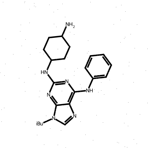 CCC(C)n1cnc2c(Nc3ccccc3)nc(NC3CCC(N)CC3)nc21